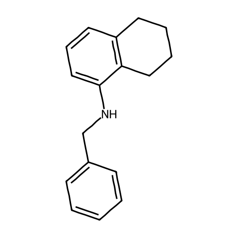 c1ccc(CNc2cccc3c2CCCC3)cc1